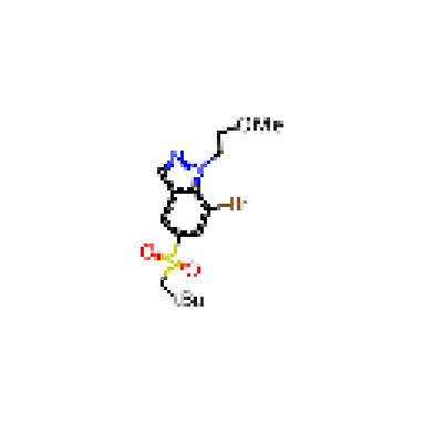 COCCn1ncc2cc(S(=O)(=O)CC(C)(C)C)cc(Br)c21